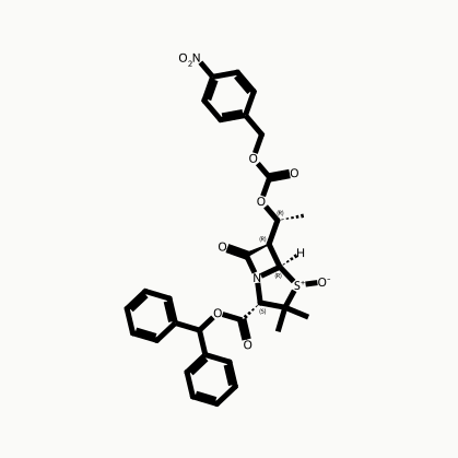 C[C@@H](OC(=O)OCc1ccc([N+](=O)[O-])cc1)[C@@H]1C(=O)N2[C@@H]1[S+]([O-])C(C)(C)[C@@H]2C(=O)OC(c1ccccc1)c1ccccc1